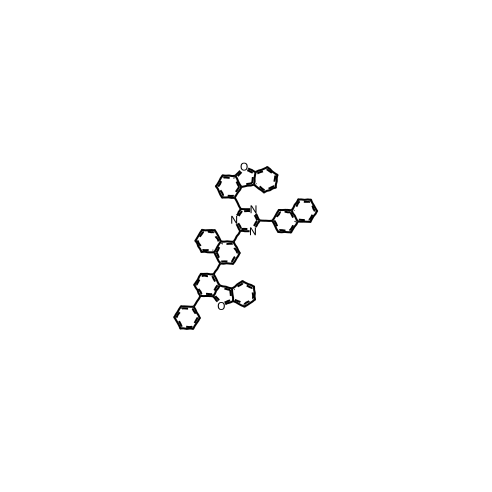 c1ccc(-c2ccc(-c3ccc(-c4nc(-c5ccc6ccccc6c5)nc(-c5cccc6oc7ccccc7c56)n4)c4ccccc34)c3c2oc2ccccc23)cc1